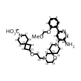 COCOc1ccccc1-c1cc(N2CCC3(CC2)CN(CCOC2CC4(CCN(C(=O)O)CC4)C2)CCO3)c(N)nn1